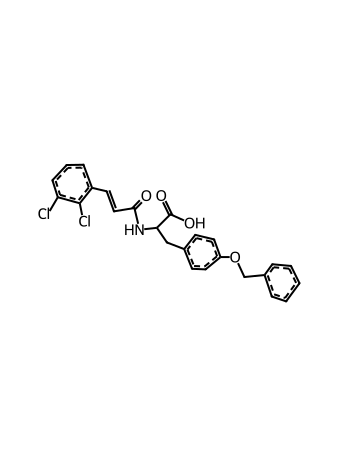 O=C(C=Cc1cccc(Cl)c1Cl)NC(Cc1ccc(OCc2ccccc2)cc1)C(=O)O